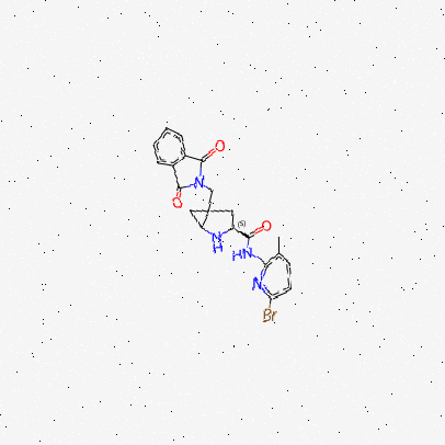 Cc1ccc(Br)nc1NC(=O)[C@@H]1CC2(CN3C(=O)c4ccccc4C3=O)CC2N1